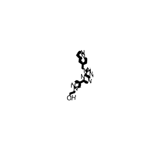 OCCn1cc(-c2cnc3nnn(Cc4ccn5nccc5c4)c3n2)cn1